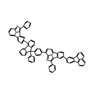 c1ccc(-c2nc3cccc4c5ccc(-c6cccc7c6-c6ccccc6C7(c6ccccc6)c6ccc(-c7ccc8c9ccc(-c%10ccc%11c(c%10)-c%10cccc%12cccc-%11c%10%12)cc9c9c(-c%10ccccc%10)nc7n89)cc6)cc5c2n34)cc1